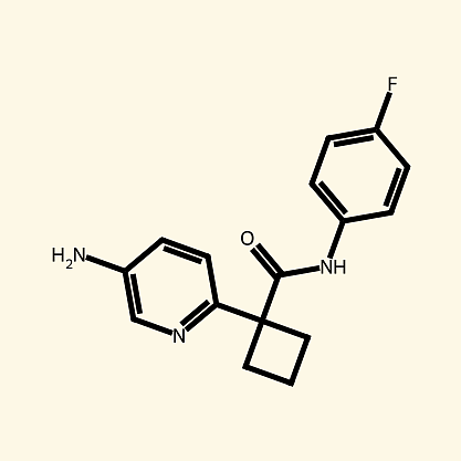 Nc1ccc(C2(C(=O)Nc3ccc(F)cc3)CCC2)nc1